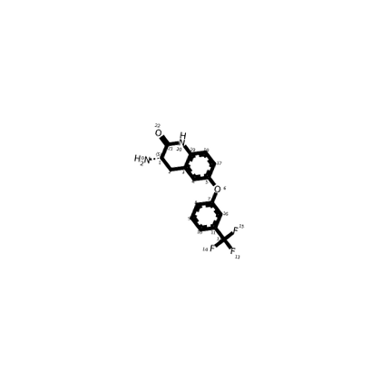 N[C@H]1Cc2cc(Oc3cccc(C(F)(F)F)c3)ccc2NC1=O